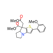 COC(=O)CC1(C(=O)OC)c2sc(-c3ccccc3OC)cc2N2CCCC21